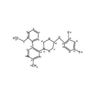 CCc1ncccc1-c1cnc(C)cc1N1CCC(Cc2ccc(F)cc2F)CC1